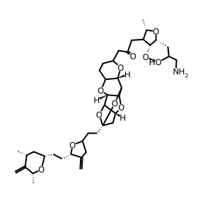 C=C1CC(CC[C@@]23C[C@H]4OC5C(O2)[C@H]2OC(CC(=O)CC6[C@H](C)O[C@H](CC(O)CN)[C@@H]6OC)CCC2O[C@H]5C4O3)O[C@H]1CC[C@H]1C[C@@H](C)C(=C)[C@@H](C)O1